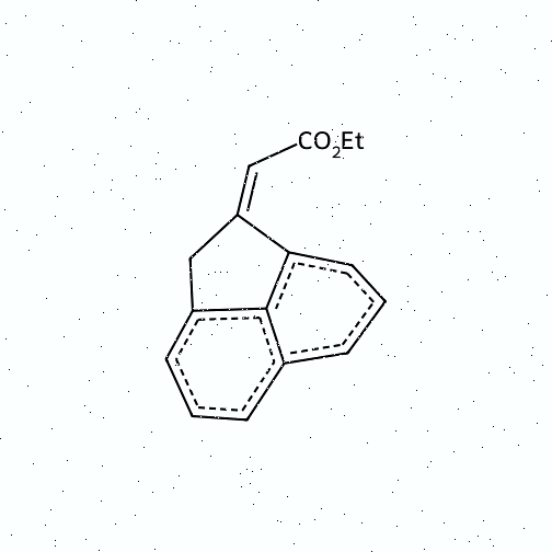 CCOC(=O)C=C1Cc2cccc3cccc1c23